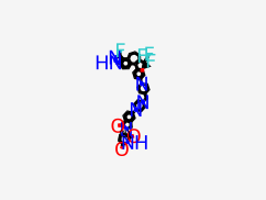 O=C1CC[C@H](N2Cc3cc(N4CCN(CC5CCN(c6ccc(C7=C(C8(C(F)(F)F)CC8)CCCc8c7ccc7[nH]nc(F)c87)cc6)CC5)CC4)ccc3C2=O)C(=O)N1